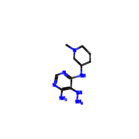 CN1CCCC(Nc2ncnc(N)c2NN)C1